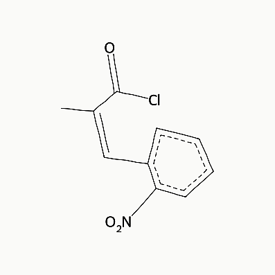 CC(=Cc1ccccc1[N+](=O)[O-])C(=O)Cl